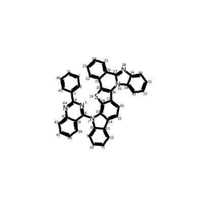 c1ccc(-c2nc(-n3c4ccccc4c4ccc5c(sc6c7ccccc7c7nc8ccccc8n7c56)c43)c3ccccc3n2)cc1